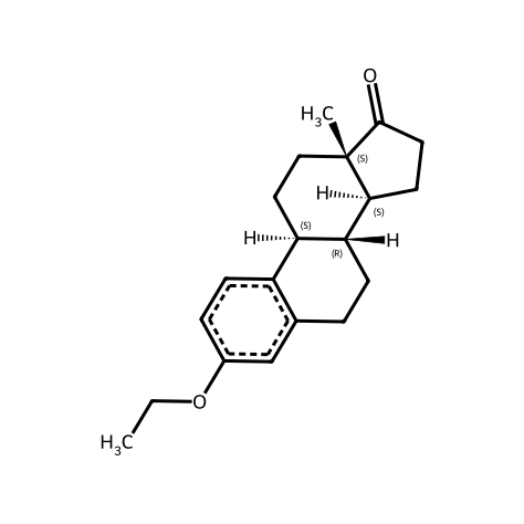 CCOc1ccc2c(c1)CC[C@@H]1[C@@H]2CC[C@]2(C)C(=O)CC[C@@H]12